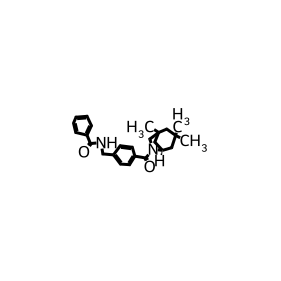 CC1(C)C[C@@H]2CC(C)(CN2C(=O)c2ccc(CNC(=O)c3ccccc3)cc2)C1